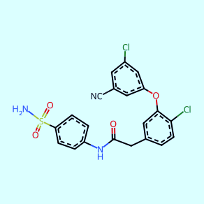 N#Cc1cc(Cl)cc(Oc2cc(CC(=O)Nc3ccc(S(N)(=O)=O)cc3)ccc2Cl)c1